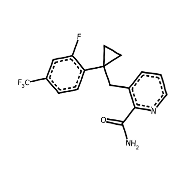 NC(=O)c1ncccc1CC1(c2ccc(C(F)(F)F)cc2F)CC1